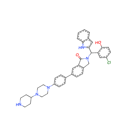 O=C1c2cc(-c3ccc(N4CCN(C5CCNCC5)CC4)cc3)ccc2CN1C(c1cc2ccccc2[nH]1)c1cc(Cl)ccc1O